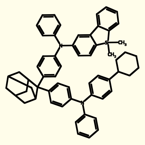 C[Si]1(C)c2ccccc2-c2cc(N(c3ccccc3)c3ccc(C4(c5ccc(N(c6ccccc6)c6ccc(C7CCCCC7)cc6)cc5)C5CC6CC(C5)CC4C6)cc3)ccc21